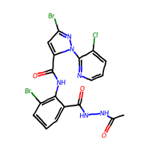 CC(=O)NNC(=O)c1cccc(Br)c1NC(=O)c1cc(Br)nn1-c1ncccc1Cl